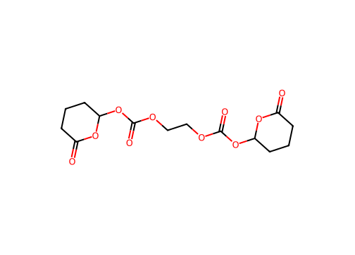 O=C1CCCC(OC(=O)OCCOC(=O)OC2CCCC(=O)O2)O1